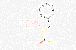 O.O.O=C([S-])SCc1ccccc1.[K+]